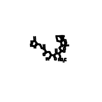 CC(C)C(CC(=O)NCCc1nnn[nH]1)C(=O)NC(CC(=O)O)C(=O)CN(C12CCC(CC1=O)C2(C)C)S(C)(=O)=O